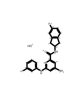 Cl.Nc1cc(Nc2cccc(F)c2)nc(C(=O)NC2Cc3ccc(F)cc3C2)c1